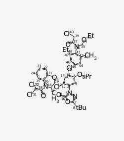 CC(C)Oc1cc(-n2nc(C(C)(C)C)oc2=O)c(Cl)cc1Cl.CC1COc2ccccc2N1C(=O)C(Cl)Cl.CCOCN(C(=O)CCl)c1c(C)cccc1CC